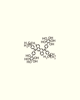 C[Si](C)(C)c1ccc(N(c2ccc(-c3c(O)c(O)c(O)c(O)c3O)cc2)c2cc3c4ccccc4c(N(c4ccc(-c5c(O)c(O)c(O)c(O)c5O)cc4)c4ccc([Si](C)(C)C)cc4)cc3c3ccccc23)cc1